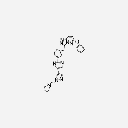 c1ccc(Oc2ccc3nnc(Cc4cccc(-c5ncc(-c6cnn(CCN7CCCC7)c6)cn5)c4)n3n2)cc1